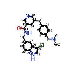 CC(=O)N(C)Cc1ccc(Cc2cncc(C(=O)NCc3ccc4[nH]cc(Cl)c4c3)c2)cc1